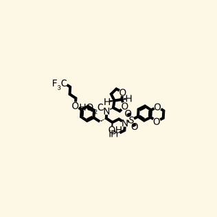 CC(C)CN(C[C@@H](O)[C@H](Cc1ccc(OCCCC(F)(F)F)cc1)N(C(=O)O)[C@H]1CO[C@H]2OCC[C@H]21)S(=O)(=O)c1ccc2c(c1)OCCO2